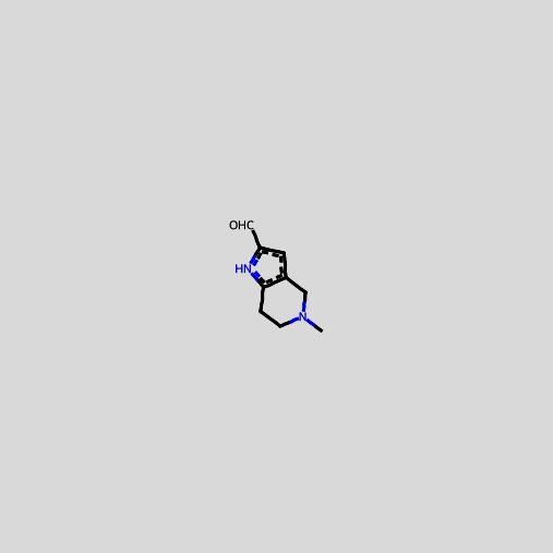 CN1CCc2[nH]c(C=O)cc2C1